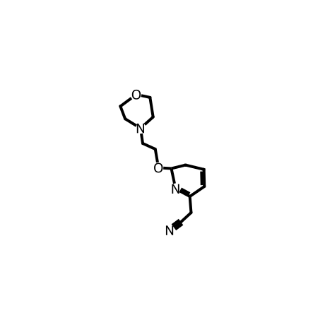 N#CCC1=NC(OCCN2CCOCC2)CC=C1